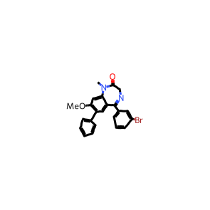 COc1cc2c(cc1-c1ccccc1)C(c1cccc(Br)c1)=NCC(=O)N2C